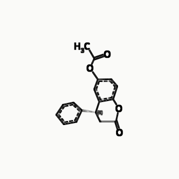 CC(=O)Oc1ccc2c(c1)[C@@H](c1ccccc1)CC(=O)O2